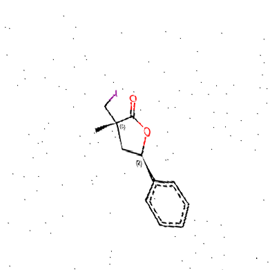 C[C@]1(CI)C[C@H](c2ccccc2)OC1=O